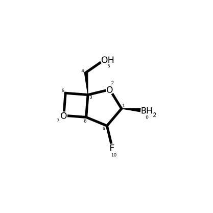 B[C@@H]1O[C@@]2(CO)COC2C1F